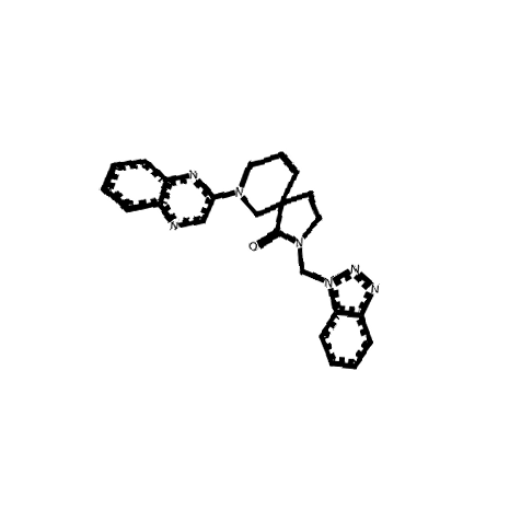 O=C1N(Cn2nnc3ccccc32)CCC12CCCN(c1cnc3ccccc3n1)C2